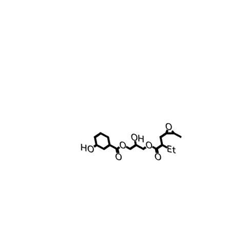 CCC(CC1OC1C)C(=O)OCC(O)COC(=O)C1CCCC(O)C1